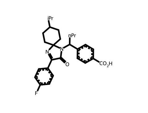 CCCC(c1ccc(C(=O)O)cc1)N1C(=O)C(c2ccc(F)cc2)=NC12CCC(C(C)C)CC2